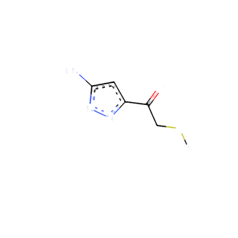 CC(=O)SCC(=O)c1cc(N)[nH]n1